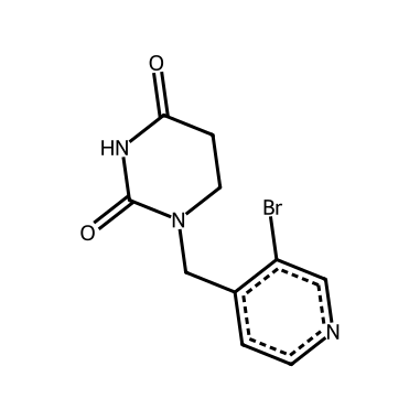 O=C1CCN(Cc2ccncc2Br)C(=O)N1